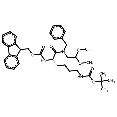 COC(CN(Cc1ccccc1)C(=O)[C@H](CCCCNC(=O)OC(C)(C)C)NC(=O)OCC1c2ccccc2-c2ccccc21)OC